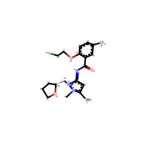 Cn1c(C(C)(C)C)cc(=NC(=O)c2cc(C(F)(F)F)ccc2OCCF)n1C[C@H]1CCCO1